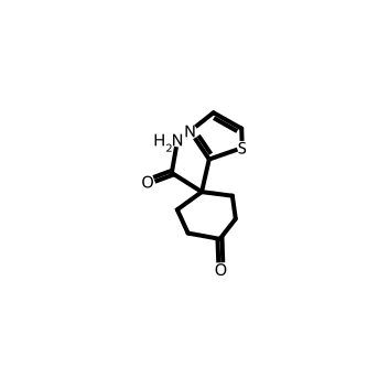 NC(=O)C1(c2nccs2)CCC(=O)CC1